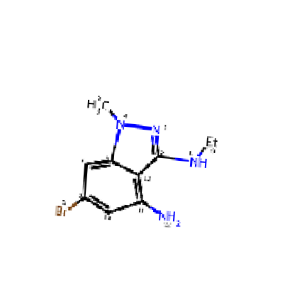 CCNc1nn(C)c2cc(Br)cc(N)c12